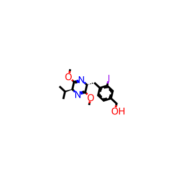 COC1=N[C@H](Cc2ccc(CO)cc2I)C(OC)=N[C@H]1C(C)C